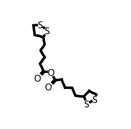 O=C(CCCCC1CCSS1)OC(=O)CCCCC1CCSS1